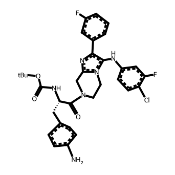 CC(C)(C)OC(=O)N[C@@H](Cc1ccc(N)cc1)C(=O)N1CCn2c(nc(-c3cccc(F)c3)c2Nc2ccc(Cl)c(F)c2)C1